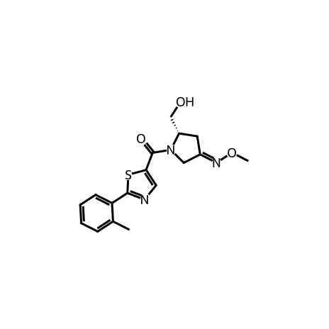 CO/N=C1\C[C@@H](CO)N(C(=O)c2cnc(-c3ccccc3C)s2)C1